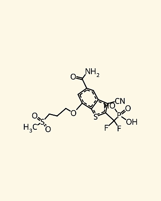 CS(=O)(=O)CCCOc1cc(C(N)=O)cc2c(C#N)c(C(F)(F)P(=O)(O)O)sc12